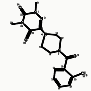 Cn1nc(N2CCN(C(=O)c3ccccc3C(F)(F)F)CC2)c(=O)n(C)c1=O